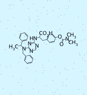 CC(c1ccccc1)N(Cc1ccccc1)c1ncnc(NC(Cc2ccc(OC(=O)N(C)C)cc2)C(=O)O)n1